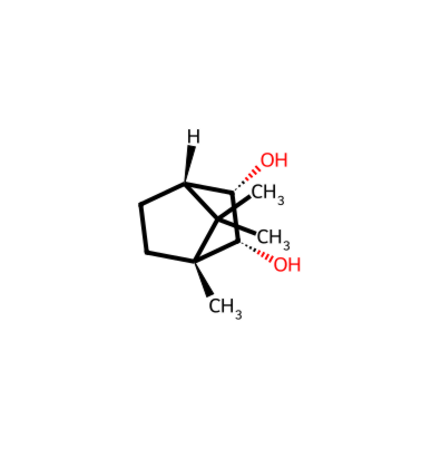 CC1(C)[C@@H]2CC[C@@]1(C)[C@@H](O)[C@H]2O